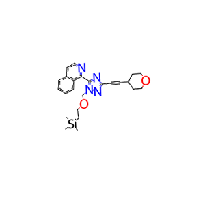 C[Si](C)(C)CCOCn1nc(C#CC2CCOCC2)nc1-c1nccc2ccccc12